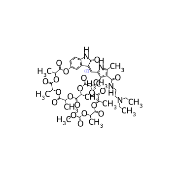 CCN(CC)CCNC(=O)c1c(C)[nH]c(/C=C2\C(=O)Nc3ccc(OC(=O)C(C)OC(=O)C(C)OC(=O)C(C)OC(=O)C(C)OC(=O)C(C)OC(=O)C(C)OC(=O)C(C)OC(=O)OC)cc32)c1C